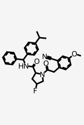 COc1ccc(CC(=O)N2CC(F)CC2C(=O)NC(c2ccccc2)c2ccc(C(C)C)cc2)c(C#N)c1